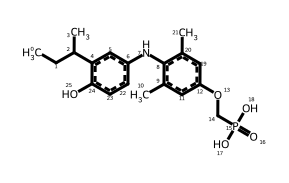 CCC(C)c1cc(Nc2c(C)cc(OCP(=O)(O)O)cc2C)ccc1O